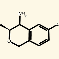 C[C@@H]1OCc2ccc(Cl)cc2C1N